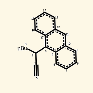 [C]#CC(CCCC)c1c2ccccc2cc2ccccc12